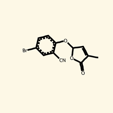 CC1=CC(Oc2ccc(Br)cc2C#N)OC1=O